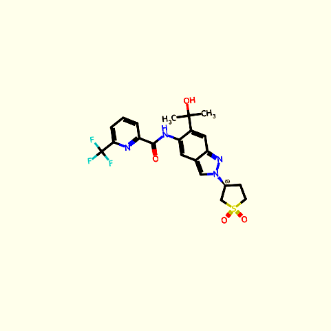 CC(C)(O)c1cc2nn([C@H]3CCS(=O)(=O)C3)cc2cc1NC(=O)c1cccc(C(F)(F)F)n1